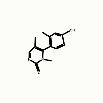 Cc1cc(O)ccc1-c1c(C)cnc(=O)n1C